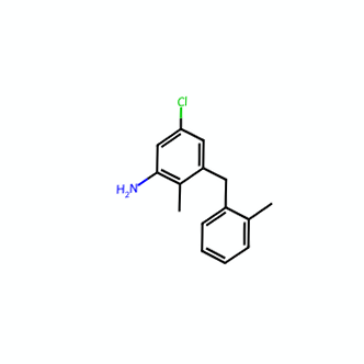 Cc1ccccc1Cc1cc(Cl)cc(N)c1C